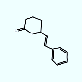 O=C1CCC[C@@H](C=Cc2ccccc2)O1